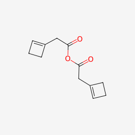 O=C(CC1=CCC1)OC(=O)CC1=CCC1